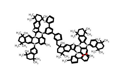 Cc1ccc(-c2ccccc2)c(N2c3cc(C)cc4c3B(c3cc5c(cc3N4c3ccc4c(c3)C(C)(C)CCC4(C)C)C(C)(C)CCC5(C)C)c3sc4cc5c(cc4c32)C(C)(C)CCC5(C)Cc2cccc(-c3cc(-c4ccccc4)cc(N4c5cc(C)cc6c5B(c5cc7c(cc5N6c5ccc6c(c5)C(C)(C)CCC6(C)C)C(C)(C)CCC7(C)C)c5sc6cc7c(cc6c54)C(C)(C)CCC7(C)C)c3)c2)c1